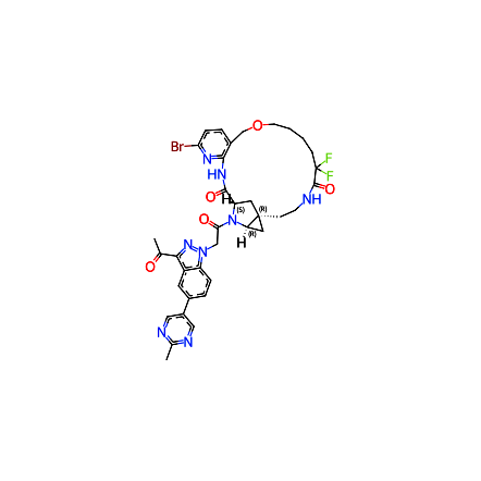 CC(=O)c1nn(CC(=O)N2[C@H]3C[C@@]4(CCNC(=O)C(F)(F)CCCCOCc5ccc(Br)nc5NC3=O)C[C@@H]24)c2ccc(-c3cnc(C)nc3)cc12